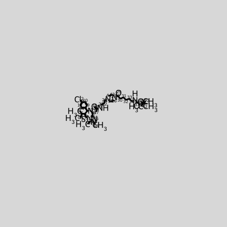 Cc1sc2c(c1C)C(c1ccc(Cl)cc1)=N[C@H](CC(=O)NCCCN1CCN(C(=O)CCCCCNC(=O)OC(C)(C)C)CC1)C1=NN(C)C(C)N12